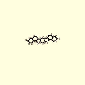 Cc1ccc2c(ccc3c4cc5c(cc4sc23)sc2c3ccc(C)cc3ccc52)c1